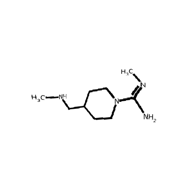 C/N=C(/N)N1CCC(CNC)CC1